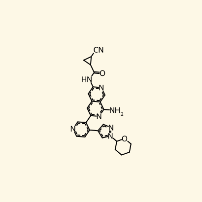 N#CC1CC1C(=O)Nc1cc2cc(-c3cnccc3-c3cnn(C4CCCCO4)c3)nc(N)c2cn1